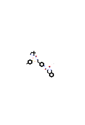 Cc1ccc(S(=O)(=O)N(C(=O)[C@H]2NCCC2(C)C)[C@@H](Cc2ccc(NC(=O)[C@@H]3Cc4ccccc4CN3C(=O)OC(C)(C)C)cc2)C(=O)O)cc1